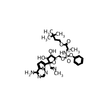 CN=C[C@@]1(c2ccc3c(N)ncnn23)O[C@H](COP(=O)(N[C@@H](C)C(=O)OCCC(C)(C)C)Oc2ccccc2)[C@@H](O)[C@H]1O